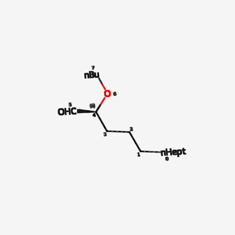 CCCCCCCCCC[C@@H](C=O)OCCCC